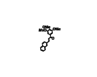 COc1cc(C(=O)/C=C/c2ccc3ccccc3c2)cc(OC)c1OC